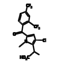 CC(C(=O)O)c1c(Cl)cc(C(=O)c2ccc(C(F)(F)F)cc2C(F)(F)F)n1C